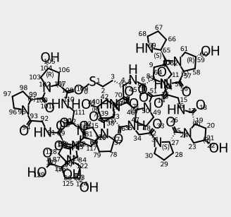 CSCC[C@H](NC(=O)[C@@H]1CCCN1C(=O)CNC(=O)[C@@H]1C[C@@H](O)CN1C(=O)[C@@H]1CCCN1C(=O)CNC(=O)[C@@H]1C[C@@H](O)CN1C(=O)[C@@H]1CCCN1C(=O)CNC(=O)[C@@H]1C[C@@H](O)CN1C(=O)[C@@H]1CCCN1)C(=O)NCC(=O)N1CCC[C@H]1C(=O)N1C[C@H](O)C[C@H]1C(=O)NCC(=O)N1CCC[C@H]1C(=O)N1C[C@H](O)C[C@H]1C(=O)NCC(=O)N1CCC[C@H]1C(=O)N1C[C@H](O)C[C@H]1C(=O)O